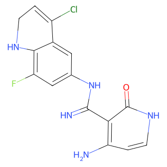 N=C(Nc1cc(F)c2c(c1)C(Cl)=CCN2)c1c(N)cc[nH]c1=O